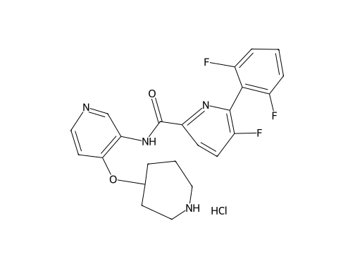 Cl.O=C(Nc1cnccc1OC1CCCNCC1)c1ccc(F)c(-c2c(F)cccc2F)n1